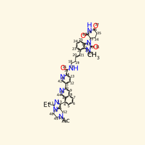 CCc1nc(-c2cccc3cc(-c4ccc(C(=O)NCC/C=C/c5cccc6c5n(C)c(=O)n6C5CCC(=O)NC5=O)nc4)ncc23)c2n1CCN(C(C)=O)C2